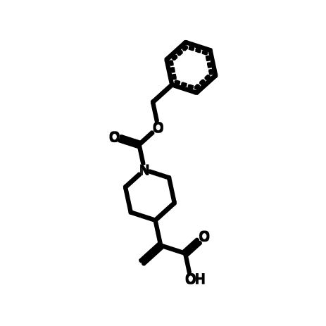 C=C(C(=O)O)C1CCN(C(=O)OCc2ccccc2)CC1